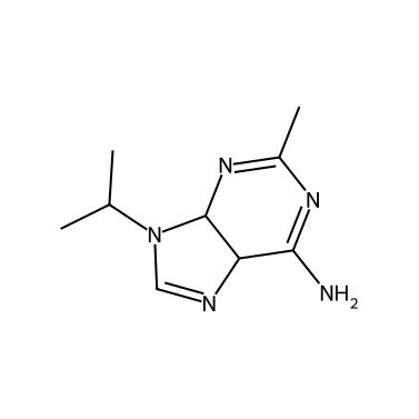 CC1=NC2C(N=CN2C(C)C)C(N)=N1